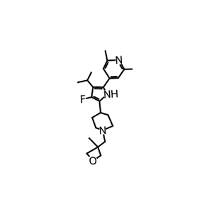 Cc1cc(-c2[nH]c(C3CCN(CC4(C)COC4)CC3)c(F)c2C(C)C)cc(C)n1